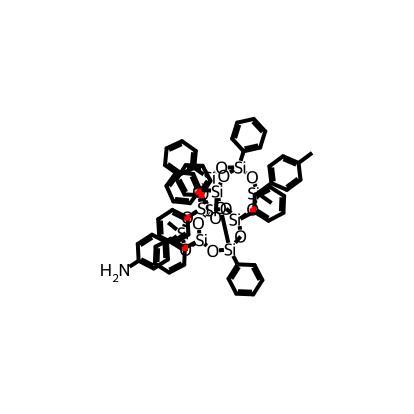 Cc1ccc([Si]2(C)O[Si]3(c4ccccc4)O[Si]4(c5ccccc5)O[Si]5(c6ccccc6)O[Si](C)(c6ccc(N)cc6)O[Si]6(c7ccccc7)O[Si](c7ccccc7)(O[Si](c7ccccc7)(O2)O[Si](c2ccccc2)(O6)O[Si](c2ccccc2)(O3)O5)O4)cc1